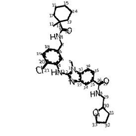 Cn1c(Nc2cc(CNC(=O)C3(C)CCCCC3)ccc2Cl)nc2cc(C(=O)NCC3CCCO3)ccc21